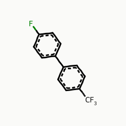 Fc1ccc(-c2ccc(C(F)(F)F)cc2)cc1